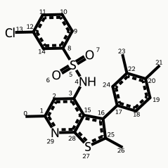 Cc1cc(NS(=O)(=O)c2cccc(Cl)c2)c2c(-c3ccc(C)c(C)c3)c(C)sc2n1